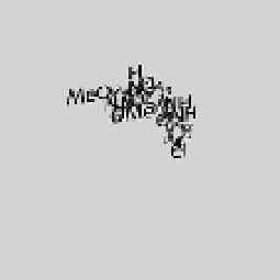 COc1cc(NS(=O)(=O)c2ccc(NC(=O)Nc3ccc(Cl)cc3)cc2)nc(OC)n1